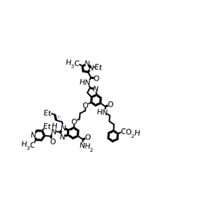 CC/C=C/Cn1c(NC(=O)c2cc(C)ncc2CC)nc2cc(C(N)=O)cc(OCCCOc3cc(C(=O)NCCCc4ccccc4C(=O)O)cc4c3CC(NC(=O)c3cc(C)nn3CC)=N4)c21